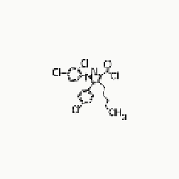 CCCCCc1c(C(=O)Cl)nn(-c2ccc(Cl)cc2Cl)c1-c1ccc(Cl)cc1